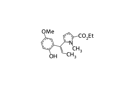 C/C=C(/c1cc(OC)ccc1O)c1ccc(C(=O)OCC)n1C